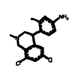 Cc1cc(N)ccc1C1CN(C)Cc2c(Cl)cc(Cl)cc21